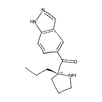 CCC[C@]1(C(=O)c2ccc3[nH]ncc3c2)CCCN1